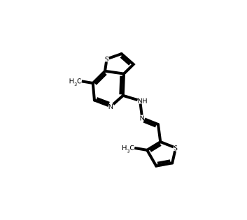 Cc1ccsc1C=NNc1ncc(C)c2sccc12